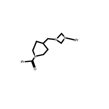 CC(C)C(=O)N1CCC(CN2CN(C(C)C)C2)CC1